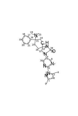 Cc1cc(C)n(-c2ncc(N3CC4(CCC(c5ccccc5)(N(C)C)CC4)NC3=O)cn2)n1